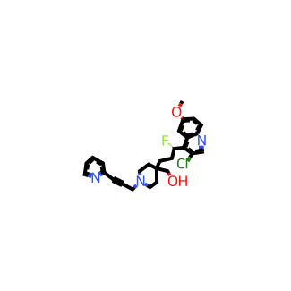 COc1ccc2ncc(Cl)c([C@@H](F)CCC3(CO)CCN(CC#Cc4ccccn4)CC3)c2c1